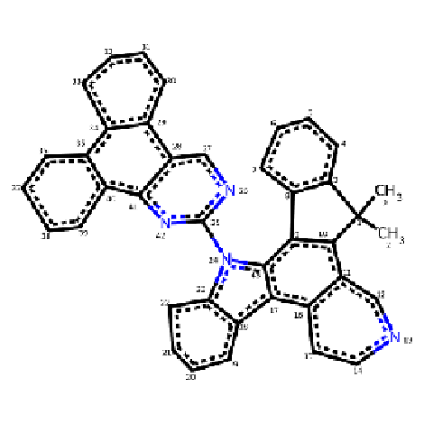 CC1(C)c2ccccc2-c2c1c1cnccc1c1c3ccccc3n(-c3ncc4c5ccccc5c5ccccc5c4n3)c21